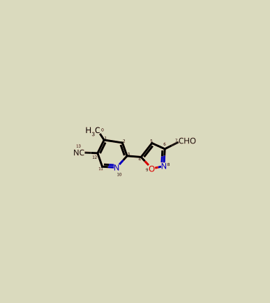 Cc1cc(-c2cc(C=O)no2)ncc1C#N